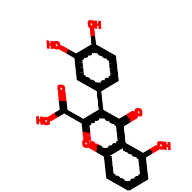 O=C(O)c1oc2cccc(O)c2c(=O)c1-c1ccc(O)c(O)c1